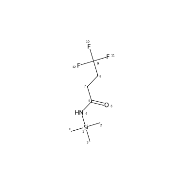 C[Si](C)(C)NC(=O)CCC(F)(F)F